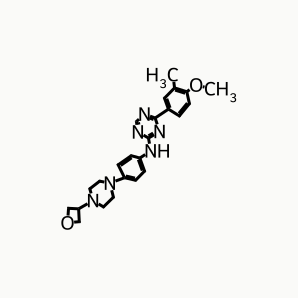 COc1ccc(-c2ncnc(Nc3ccc(N4CCN(C5COC5)CC4)cc3)n2)cc1C